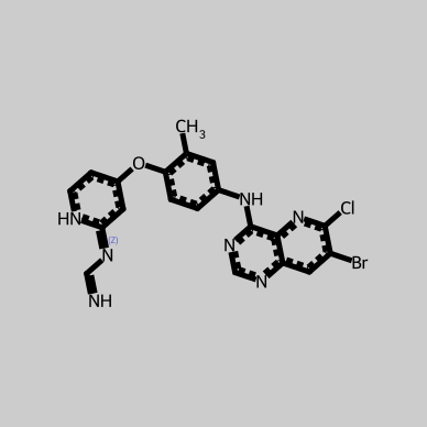 Cc1cc(Nc2ncnc3cc(Br)c(Cl)nc23)ccc1Oc1cc[nH]/c(=N\C=N)c1